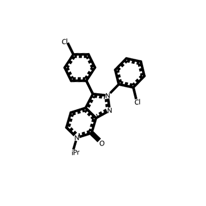 CC(C)n1ccc2c(-c3ccc(Cl)cc3)n(-c3ccccc3Cl)nc2c1=O